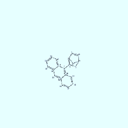 C1=CC2CC1CC2c1c2ccccc2cc2ccccc12